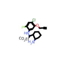 C#CCOc1cc(NC(C(=O)OCC)C2CCCCC2N)c(F)cc1Cl